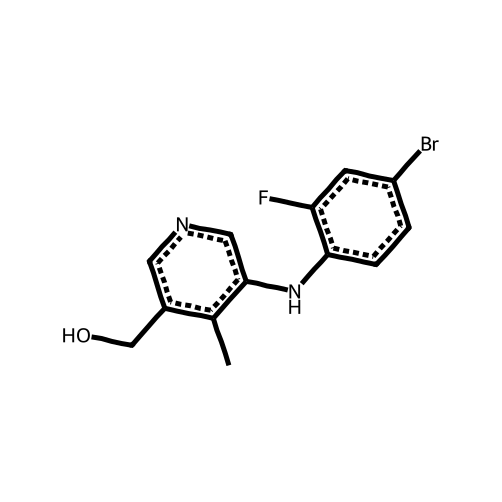 Cc1c(CO)cncc1Nc1ccc(Br)cc1F